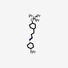 CCC[C@H]1CC[C@H](/C=C/CCC2CCC(O[Si](C(C)C)(C(C)C)C(C)C)CC2)CC1